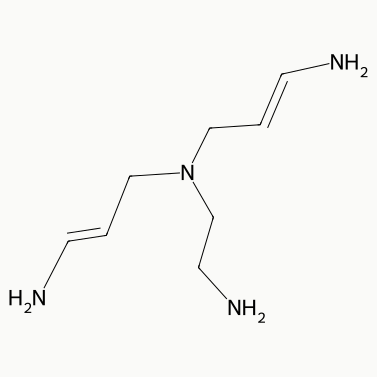 NC=CCN(CC=CN)CCN